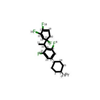 CCC[C@H]1CC[C@H](c2cc(F)c(C(C)C3(F)C=C(F)C(F)=CC3)c(F)c2)CC1